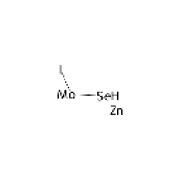 [SeH][Mo][I].[Zn]